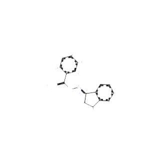 C=C(O/N=C1\CCc2ccccc21)c1ccccc1